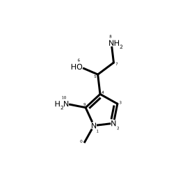 Cn1ncc(C(O)CN)c1N